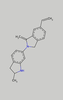 C=Cc1ccc2c(c1)C(=C)N(c1ccc3c(c1)NC(C)C3)C2